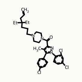 C=CCC(CC)(CC)CCCN1CCN(C(=O)c2nn(-c3ccc(Cl)cc3Cl)c(-c3ccc(Cl)cc3)c2C)CC1